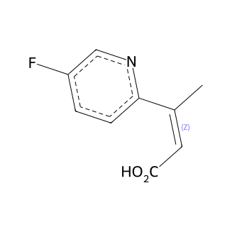 C/C(=C/C(=O)O)c1ccc(F)cn1